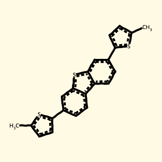 Cc1ccc(-c2ccc3c(c2)sc2cc(-c4ccc(C)s4)ccc23)s1